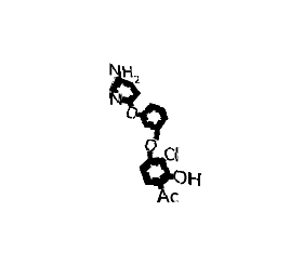 CC(=O)c1ccc(OCc2cccc(Oc3ccc(N)cn3)c2)c(Cl)c1O